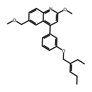 CC/C=C(\CC)COc1cccc(-c2cc(OC)nc3ccc(COC)cc23)c1